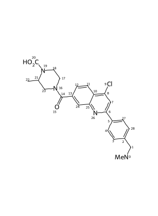 CNCc1ccc(-c2cc(Cl)c3ccc(C(=O)N4CCN(C(=O)O)C(C)C4)cc3n2)cc1